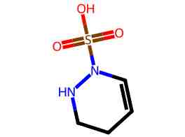 O=S(=O)(O)N1C=CCCN1